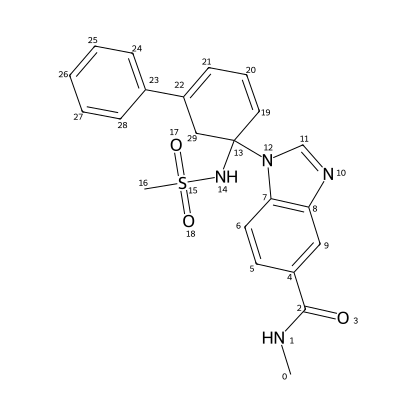 CNC(=O)c1ccc2c(c1)ncn2C1(NS(C)(=O)=O)C=CC=C(c2ccccc2)C1